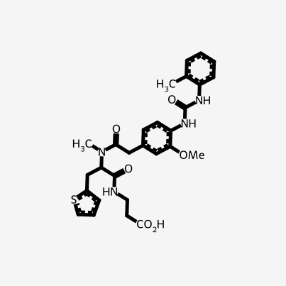 COc1cc(CC(=O)N(C)C(Cc2cccs2)C(=O)NCCC(=O)O)ccc1NC(=O)Nc1ccccc1C